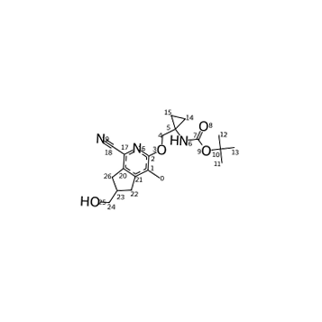 Cc1c(OCC2(NC(=O)OC(C)(C)C)CC2)nc(C#N)c2c1CC(CO)C2